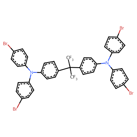 FC(F)(F)C(c1ccc(N(c2ccc(Br)cc2)c2ccc(Br)cc2)cc1)(c1ccc(N(c2ccc(Br)cc2)c2ccc(Br)cc2)cc1)C(F)(F)F